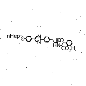 CCCCCCCOc1ccc(-c2cnc(-c3ccc(CCC(=O)NC(C(=O)O)C(O)c4ccccc4)cc3)nc2)cc1